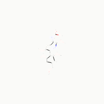 COCc1cc(OC)c(-c2c(OC)sc3c(NC(=O)O)c(OC)nn23)c(OC)c1